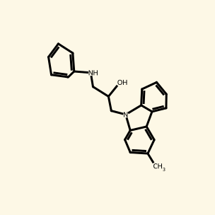 Cc1ccc2c(c1)c1ccccc1n2CC(O)CNc1ccccc1